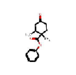 CC1CC(=O)CCC1(C)C(=O)Oc1ccccc1